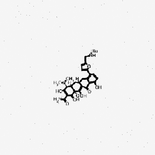 CN(C)[C@@H]1C(O)=C(C(N)=O)C(=O)[C@@]2(O)C(O)=C3C(=O)c4c(O)ccc(-c5ccc(CNC(C)(C)C)o5)c4C[C@@H]3C[C@H]12